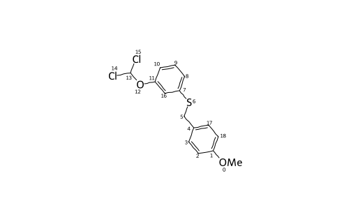 COc1ccc(CSc2cccc(OC(Cl)Cl)c2)cc1